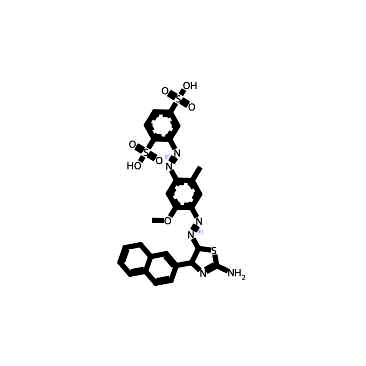 COc1cc(/N=N/c2cc(S(=O)(=O)O)ccc2S(=O)(=O)O)c(C)cc1/N=N/C1SC(N)=NC1C1=CC2CC=CC=C2C=C1